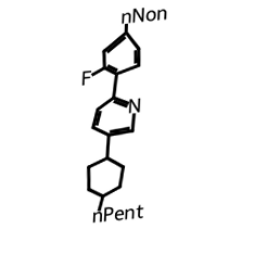 CCCCCCCCCc1ccc(-c2ccc(C3CCC(CCCCC)CC3)cn2)c(F)c1